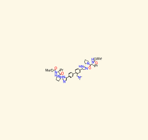 COC(=O)N[C@H](C(=O)N1CCC[C@H]1C1=NCC(c2ccc(-c3ccc(-c4cnc([C@@H]5CCCN5C(=O)[C@@H](NC(=O)OC)C(C)C)[nH]4)cc3)c(CN(C)C)c2)N1)C(C)C